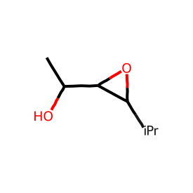 CC(C)C1OC1C(C)O